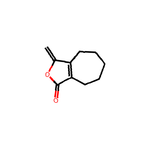 C=C1OC(=O)C2=C1CCCCC2